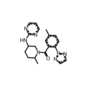 Cc1ccc(-n2nccn2)c(C(=O)N2CC(Nc3ncccn3)CCC2C)c1